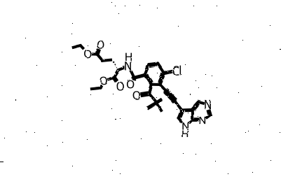 CCOC(=O)CC[C@H](NC(=O)c1ccc(Cl)c(C#Cc2c[nH]c3ncncc23)c1C(=O)C(C)(C)C)C(=O)OCC